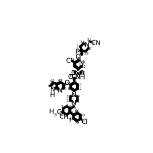 CC1(C)CCC(CN2CCN(c3ccc(C(=O)NS(=O)(=O)c4cnc(OCC5(F)CCN(CC#N)CC5)c(Cl)c4)c(Oc4cnc5[nH]ccc5c4)c3)CC2)=C(c2ccc(Cl)cc2)C1